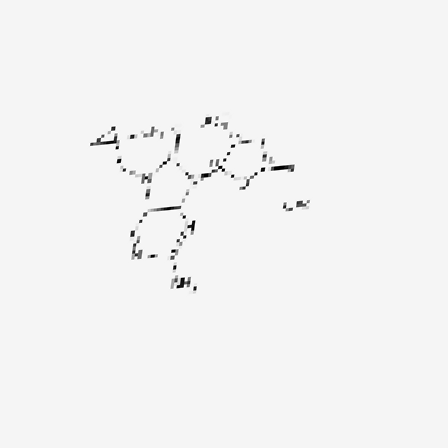 CC(=O)OC[C@@H]1C[C@@H](OC(C)=O)[C@H](n2c(=O)n(CC3(C(F)(F)F)CC3)c3cnc(N)nc32)O1